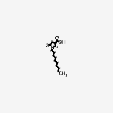 CCCCCCCCCCN1CC(C(=O)O)CC1=O